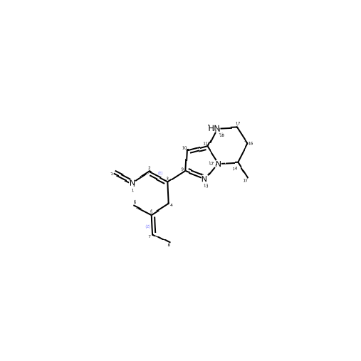 C=N/C=C(\C/C(C)=C\C)c1cc2n(n1)C(C)CCN2